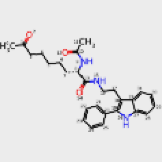 CC(=O)CCCCC[C@H](NC(C)=O)C(=O)NCCc1c(-c2ccccc2)[nH]c2ccccc12